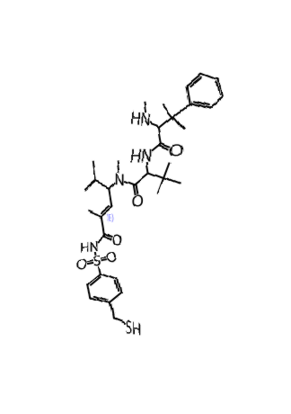 CNC(C(=O)NC(C(=O)N(C)C(/C=C(\C)C(=O)NS(=O)(=O)c1ccc(CS)cc1)C(C)C)C(C)(C)C)C(C)(C)c1ccccc1